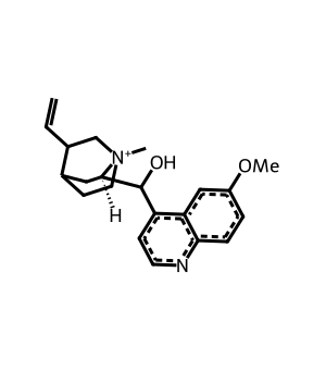 C=CC1C[N+]2(C)CCC1C[C@@H]2C(O)c1ccnc2ccc(OC)cc12